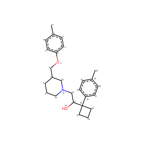 Cc1ccc(OCC2CCCN(CC(O)C3(c4ccc(C)cc4)CCC3)C2)cc1